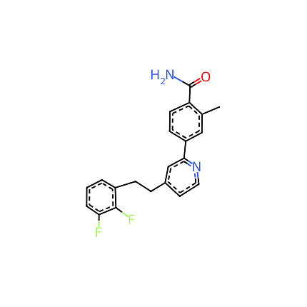 Cc1cc(-c2cc(CCc3cccc(F)c3F)ccn2)ccc1C(N)=O